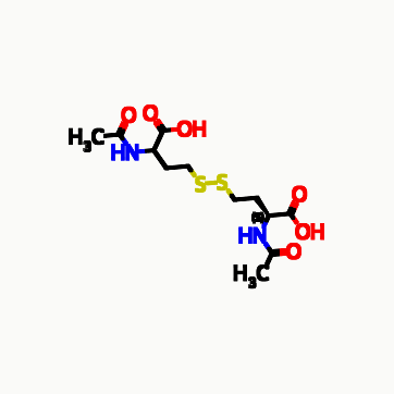 CC(=O)NC(CCSSCC[C@H](NC(C)=O)C(=O)O)C(=O)O